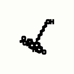 CC(=O)O[C@H]1CCC2C3C(CC[C@@]21C)[C@H]1CCC(=O)C=C1C[C@H]3CCCCCCCCCO